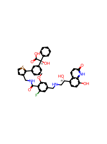 COc1cc(CNC[C@H](O)c2ccc(O)c3[nH]c(=O)ccc23)cc(F)c1C(=O)NCc1ccsc1-c1cccc([C@](O)(C(=O)O)c2ccccc2)c1